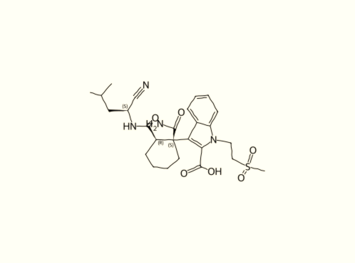 CC(C)C[C@@H](C#N)NC(=O)[C@@H]1CCCC[C@@]1(C(N)=O)c1c(C(=O)O)n(CCS(C)(=O)=O)c2ccccc12